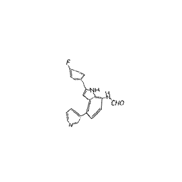 O=CNc1ccc(-c2cccnc2)c2cc(-c3ccc(F)cc3)[nH]c12